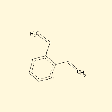 C=Cc1[c]cc[c]c1C=C